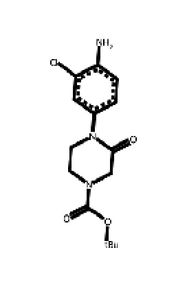 CC(C)(C)OC(=O)N1CCN(c2ccc(N)c(Cl)c2)C(=O)C1